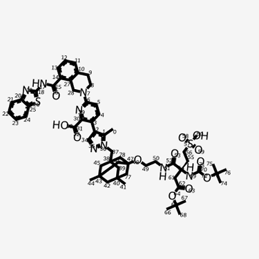 Cc1c(-c2ccc(N3CCc4cccc(C(=O)Nc5nc6ccccc6s5)c4C3)nc2C(=O)O)cnn1CC12CC3(C)CC(C)(C1)CC(OCCNC(=O)[C@@](CCS(=O)(=O)O)(CC(=O)OC(C)(C)C)NC(=O)OC(C)(C)C)(C3)C2